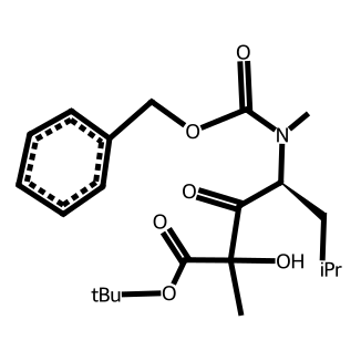 CC(C)C[C@@H](C(=O)C(C)(O)C(=O)OC(C)(C)C)N(C)C(=O)OCc1ccccc1